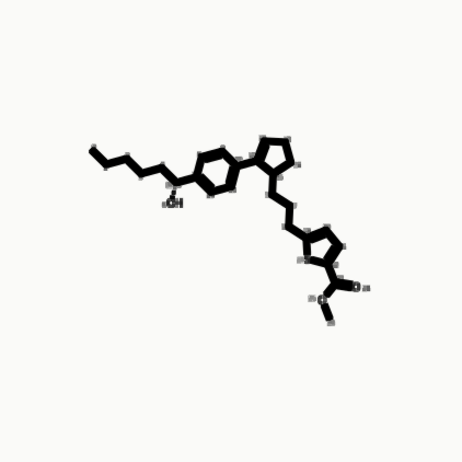 CCCCC[C@@H](O)c1ccc(C2=CCCC2CCCc2ccc(C(=O)OC)s2)cc1